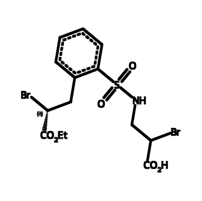 CCOC(=O)[C@H](Br)Cc1ccccc1S(=O)(=O)NCC(Br)C(=O)O